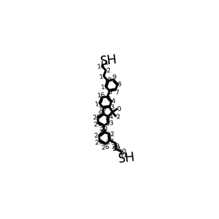 CC1(C)c2cc(-c3cccc(CCCS)c3)ccc2-c2ccc(-c3cccc(CCCS)c3)cc21